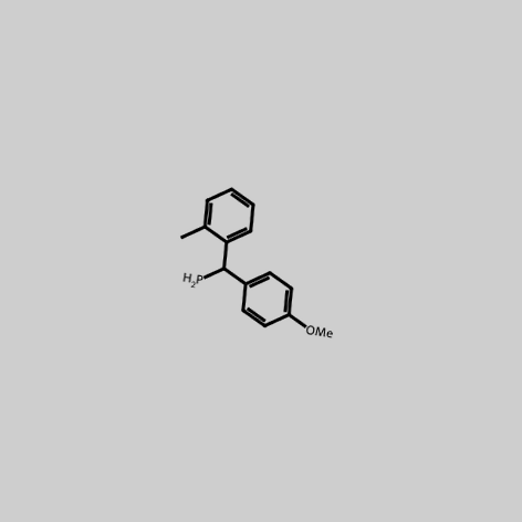 COc1ccc(C(P)c2ccccc2C)cc1